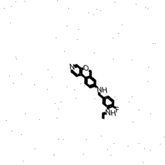 CCNc1cc(CNc2ccc3c(c2)COc2cnccc2-3)ccc1F